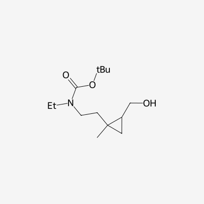 CCN(CCC1(C)CC1CO)C(=O)OC(C)(C)C